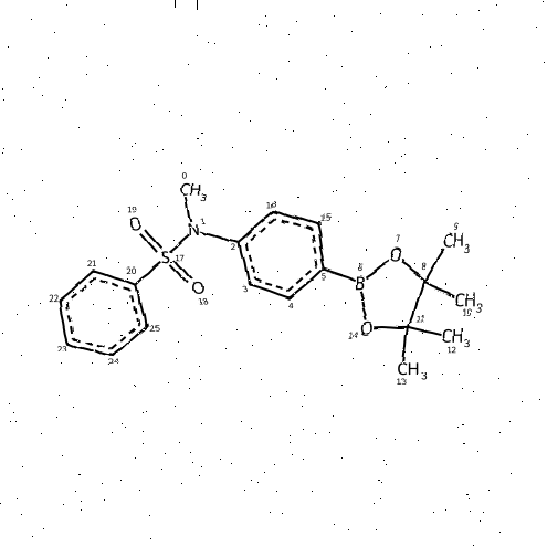 CN(c1ccc(B2OC(C)(C)C(C)(C)O2)cc1)S(=O)(=O)c1ccccc1